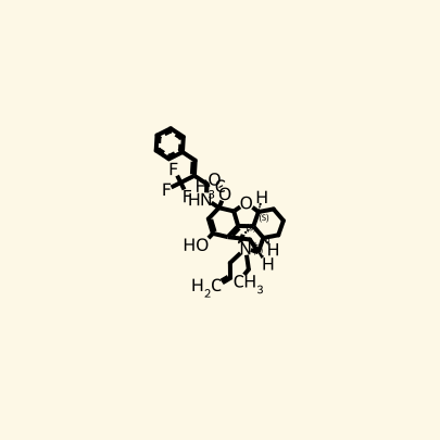 C=CC[N+]1(CC)CC[C@@]23C4=C5C[C@@H]1[C@@H]2CCC[C@@H]3OC4C(NC(=O)C(=Cc1ccccc1)C(F)(F)F)(OC)C=C5O